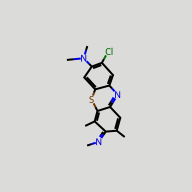 CN=c1c(C)cc2nc3cc(Cl)c(N(C)C)cc3sc-2c1C